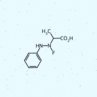 CC(C(=O)O)N(F)Nc1ccccc1